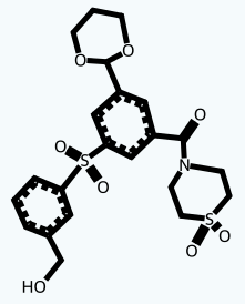 O=C(c1cc(C2OCCCO2)cc(S(=O)(=O)c2cccc(CO)c2)c1)N1CCS(=O)(=O)CC1